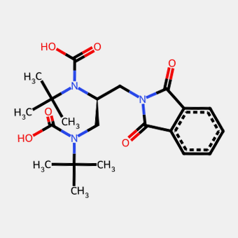 CC(C)(C)N(C[C@H](CN1C(=O)c2ccccc2C1=O)N(C(=O)O)C(C)(C)C)C(=O)O